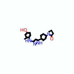 Cc1cc(O)ccc1Nc1cc(-c2ccc(N3CCCC3=O)cc2)[nH]n1